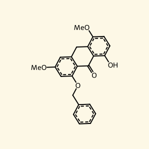 COc1cc2c(c(OCc3ccccc3)c1)C(=O)c1c(O)ccc(OC)c1C2